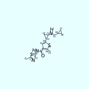 Cc1ncc(NC(=O)c2cc(C3CC3NCC3CC3)sc2C)s1